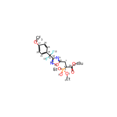 CCOP(=O)(OCC)C(Cc1nc(C(F)(F)c2ccc(OC(F)(F)F)cc2)no1)C(=O)OC(C)(C)C